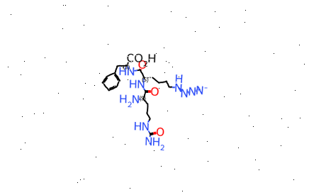 [N-]=[N+]=NNCCCC[C@H](NC(=O)[C@@H](N)CCCNC(N)=O)C(=O)N[C@@H](Cc1ccccc1)C(=O)O